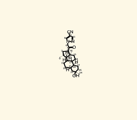 C[C@@H]1CC(C(=O)Cn2cc(C#N)cn2)[C@@]2(C)CC[C@H]3[C@@H](CC[C@H]4C[C@](C)(O)CC[C@@H]43)[C@H]12